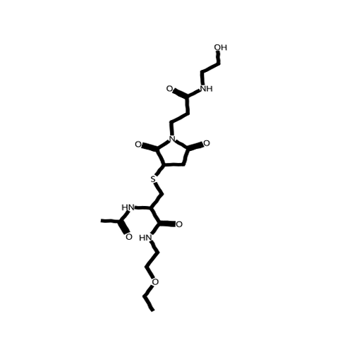 CCOCCNC(=O)C(CSC1CC(=O)N(CCC(=O)NCCO)C1=O)NC(C)=O